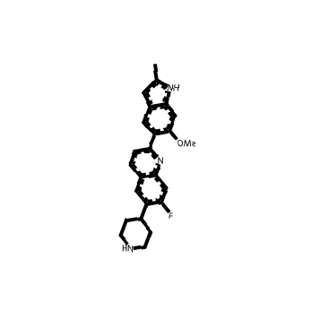 COc1cc2[nH]c(C)cc2cc1-c1ccc2cc(C3CCNCC3)c(F)cc2n1